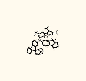 CC(C)c1cc(C(C)C)c2c(c1)oc1c(N(c3ccc4c(c3)C(C)(C)c3ccccc3-4)c3ccc4c(c3)C3(c5ccccc5-4)C4CC5CC(C4)CC3C5)cc(C(C)(C)C)cc12